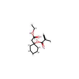 C=C(C)C(=O)OC1(CC(=O)OCC)CCCCC1